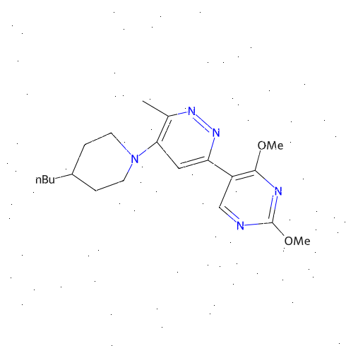 CCCCC1CCN(c2cc(-c3cnc(OC)nc3OC)nnc2C)CC1